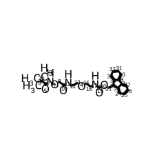 CC(C)(C)C(=O)NOCC(=O)NCCOCCNC(=O)OCC1c2ccccc2-c2ccccc21